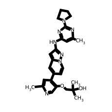 Cc1cc(-c2ccn3nc(Nc4cc(C)nc(N5CCCC5)n4)cc3c2)c(OCC(C)(C)O)cn1